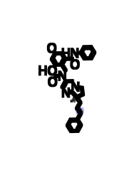 C[C@@]1(C/C=C/c2ccccc2)CCN2CC(N(CC3=C(C(=O)Nc4ccccc4)CC(=O)C=C3)C(=O)O)=CN=C21